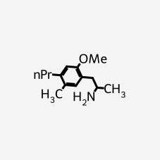 CCCc1cc(OC)c(CC(C)N)cc1C